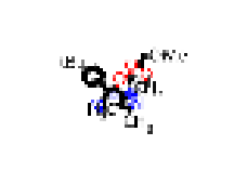 COCC(=O)OC(C)O/C(=C(\c1ccc(C(C)(C)C)cc1)C1C=N1)c1c(C)c(C)nn1C